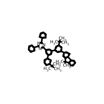 CC(C)(C)c1cccc(-c2cc(-c3cc(-c4ccc5c(c4)C(C)(C)c4ccccc4-5)cc(C(C)(C)C)c3)cc(-c3nc(-c4ccccc4)nc(-c4ccccc4)n3)c2)c1